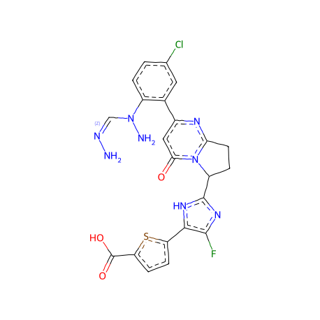 N/N=C\N(N)c1ccc(Cl)cc1-c1cc(=O)n2c(n1)CCC2c1nc(F)c(-c2ccc(C(=O)O)s2)[nH]1